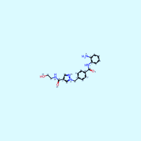 Nc1ccccc1NC(=O)c1ccc(Cn2cc(C(=O)NCCO)cn2)cc1